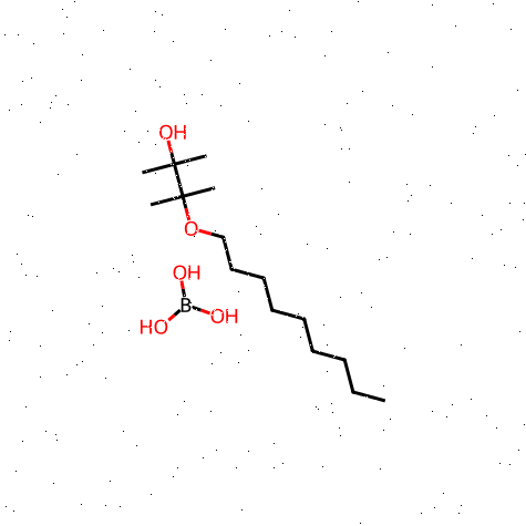 CCCCCCCCCOC(C)(C)C(C)(C)O.OB(O)O